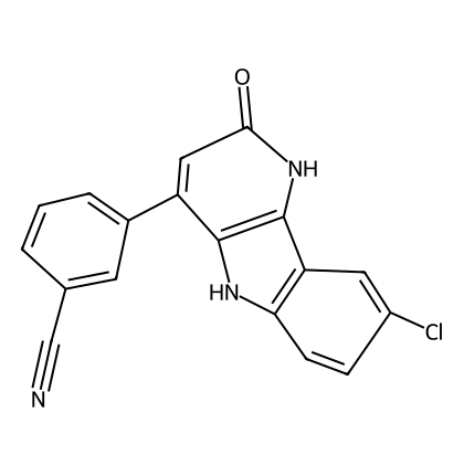 N#Cc1cccc(-c2cc(=O)[nH]c3c2[nH]c2ccc(Cl)cc23)c1